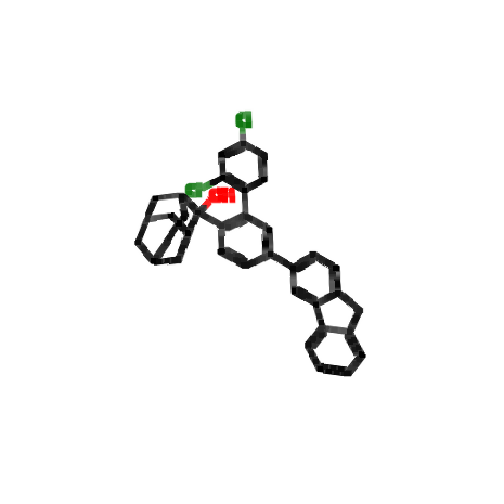 OC1(c2ccc(-c3ccc4c(c3)-c3ccccc3C4)cc2-c2ccc(Cl)cc2Cl)C2CC3CC(C2)CC1C3